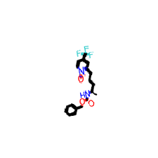 C[C@H](CCCc1cc(C(F)(F)F)cc[n+]1[O-])NC(=O)OCc1ccccc1